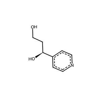 OCC[C@H](O)c1ccncc1